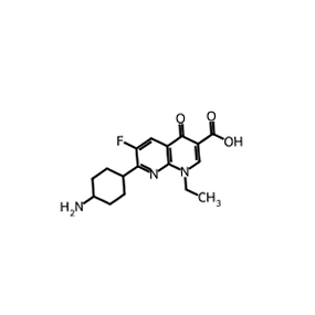 CCn1cc(C(=O)O)c(=O)c2cc(F)c(C3CCC(N)CC3)nc21